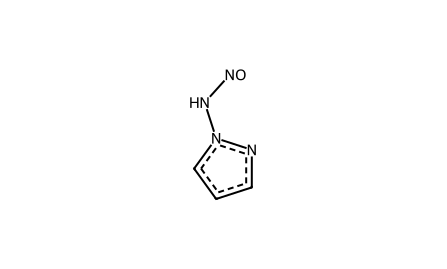 O=NNn1cccn1